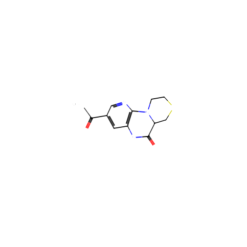 COC(=O)c1cnc2c(c1)NC(=O)C1CSCCN21